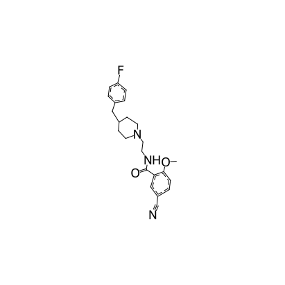 COc1ccc(C#N)cc1C(=O)NCCN1CCC(Cc2ccc(F)cc2)CC1